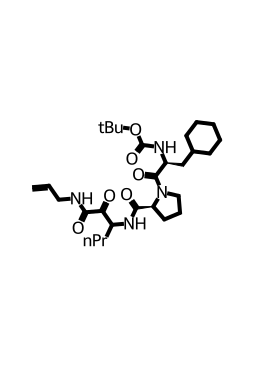 C=CCNC(=O)C(=O)C(CCC)NC(=O)[C@@H]1CCCN1C(=O)[C@H](CC1CCCCC1)NC(=O)OC(C)(C)C